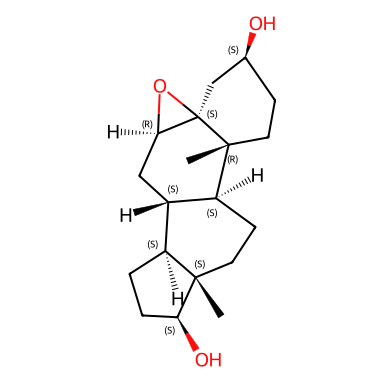 C[C@]12CC[C@H]3[C@@H](C[C@H]4O[C@]45C[C@@H](O)CC[C@]35C)[C@@H]1CC[C@@H]2O